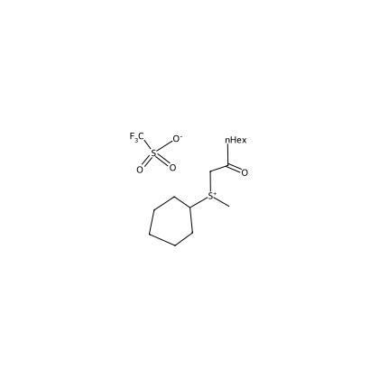 CCCCCCC(=O)C[S+](C)C1CCCCC1.O=S(=O)([O-])C(F)(F)F